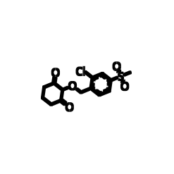 CS(=O)(=O)c1ccc(COC2C(=O)CCCC2=O)c(Cl)c1